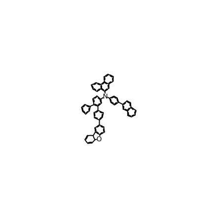 C1=CC2Oc3ccc(-c4ccc(-c5cc(N(c6ccc(-c7ccc8ccccc8c7)cc6)c6cc7ccccc7c7ccccc67)ccc5-c5ccccc5)cc4)cc3C2C=C1